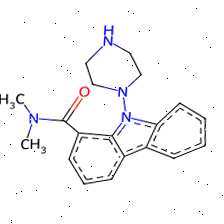 CN(C)C(=O)c1cccc2c3ccccc3n(N3CCNCC3)c12